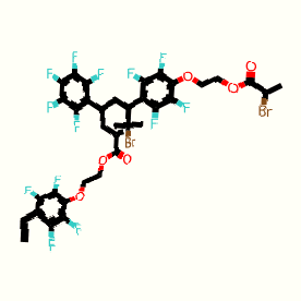 C=Cc1c(F)c(F)c(OCCOC(=O)C(C)CC(CC(c2c(F)c(F)c(OCCOC(=O)C(C)Br)c(F)c2F)C(C)(C)Br)c2c(F)c(F)c(F)c(F)c2F)c(F)c1F